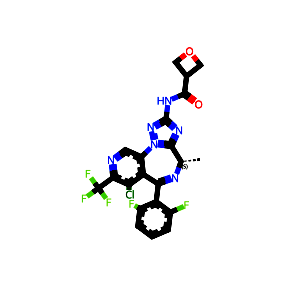 C[C@@H]1N=C(c2c(F)cccc2F)c2c(cnc(C(F)(F)F)c2Cl)-n2nc(NC(=O)C3COC3)nc21